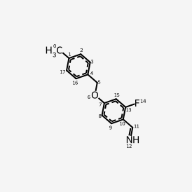 Cc1ccc(COc2ccc(C=N)c(F)c2)cc1